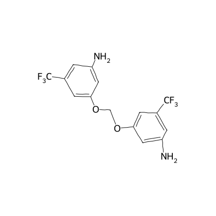 Nc1cc(OCOc2cc(N)cc(C(F)(F)F)c2)cc(C(F)(F)F)c1